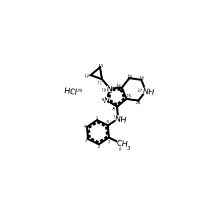 Cc1ccccc1Nc1nn(C2CC2)c2c1CNCC2.Cl